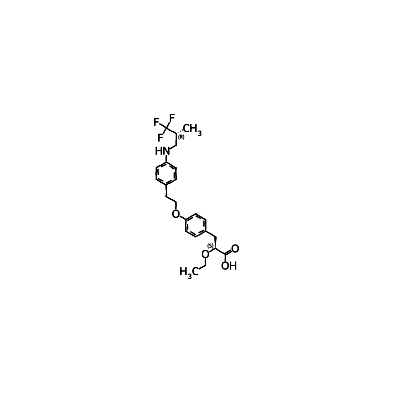 CCO[C@@H](Cc1ccc(OCCc2ccc(NC[C@@H](C)C(F)(F)F)cc2)cc1)C(=O)O